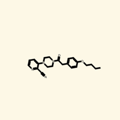 CCCCOc1ccc(CC(=O)N2CCN(c3cccnc3C#N)CC2)cc1